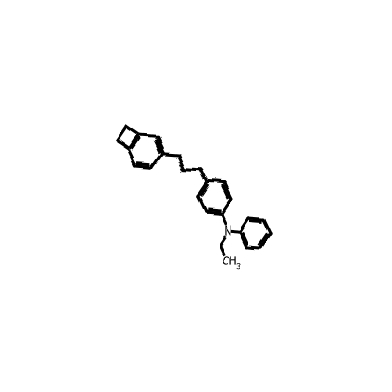 CCN(c1ccccc1)c1ccc(CCCc2ccc3c(c2)CC3)cc1